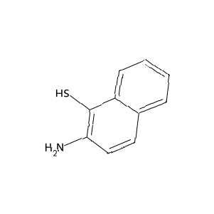 Nc1ccc2ccccc2c1S